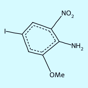 COc1cc(I)cc([N+](=O)[O-])c1N